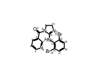 O=C(c1cccnc1)N1CCN=C1Nc1c(Br)cccc1Br